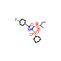 CCC(C)S(=O)(=O)c1oc(-c2ccc(F)cc2)nc1S(=O)(=O)c1ccccc1